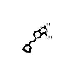 Oc1nc(O)c2c(n1)CCN(CCc1ccccc1)C2